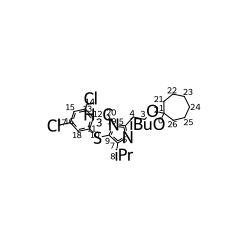 CC(C)COC1(OCCc2nc(C(C)C)c(Sc3cc(Cl)cc(Cl)c3)n2C)CCCCCC1